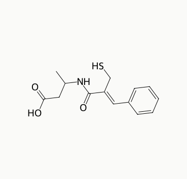 CC(CC(=O)O)NC(=O)C(=Cc1ccccc1)CS